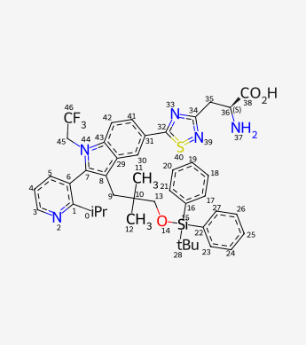 CC(C)c1ncccc1-c1c(CC(C)(C)CO[Si](c2ccccc2)(c2ccccc2)C(C)(C)C)c2cc(-c3nc(C[C@H](N)C(=O)O)ns3)ccc2n1CC(F)(F)F